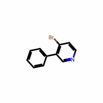 Brc1ccncc1-c1ccccc1